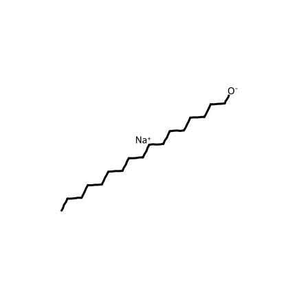 CCCCCCCCCCCCCCCCC[O-].[Na+]